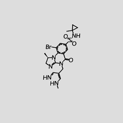 CN/C=C(\C=N)CN1C(=O)c2cc(S(=O)(=O)NC3(C)CC3)cc(Br)c2N2C1=NC[C@H]2C